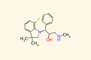 CNC[C@@H](O)[C@H](c1ccccc1)N1CC(C)(C)c2cccc(F)c21